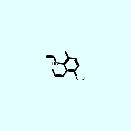 C=CNc1c(C)ccc(C=O)c1/C=C\C